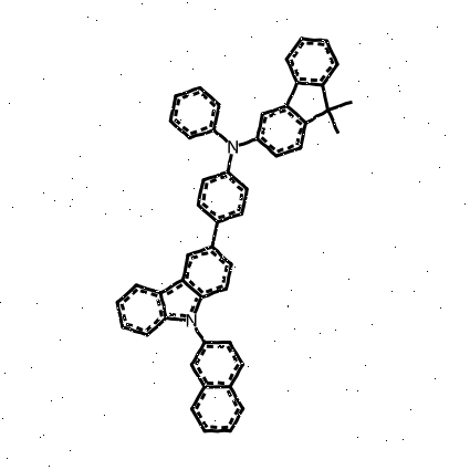 CC1(C)c2ccccc2-c2cc(N(c3ccccc3)c3ccc(-c4ccc5c(c4)c4ccccc4n5-c4ccc5ccccc5c4)cc3)ccc21